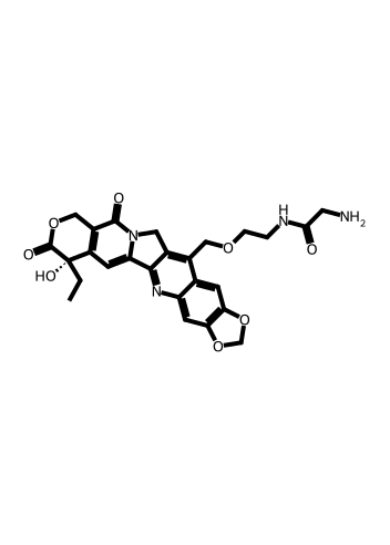 CC[C@@]1(O)C(=O)OCc2c1cc1n(c2=O)Cc2c-1nc1cc3c(cc1c2COCCNC(=O)CN)OCO3